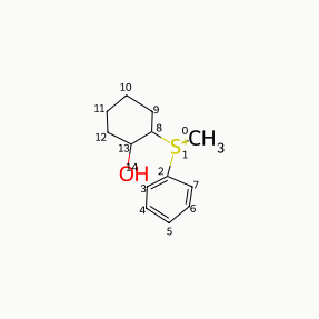 C[S+](c1ccccc1)C1CCCCC1O